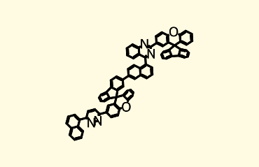 c1ccc2c(c1)Oc1ccc(-c3nc(-c4cccc5cc(-c6ccc7c(c6)C6(c8ccccc8Oc8ccc(-c9ccc(-c%10cccc%11ccccc%10%11)nn9)cc86)c6ccccc6-7)ccc45)c4ccccc4n3)cc1C21c2ccccc2-c2ccccc21